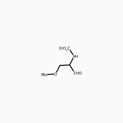 CCOC(=O)NC(C=O)COC(C)(C)C